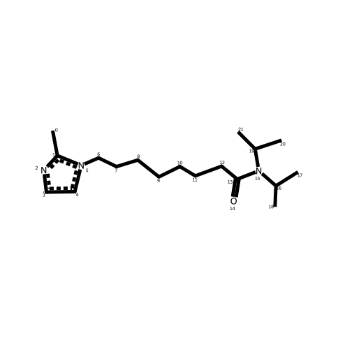 Cc1n[c]cn1CCCCCCCC(=O)N(C(C)C)C(C)C